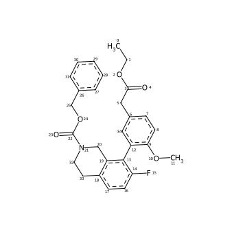 CCOC(=O)Cc1ccc(OC)c(-c2c(F)ccc3c2CN(C(=O)OCc2ccccc2)CC3)c1